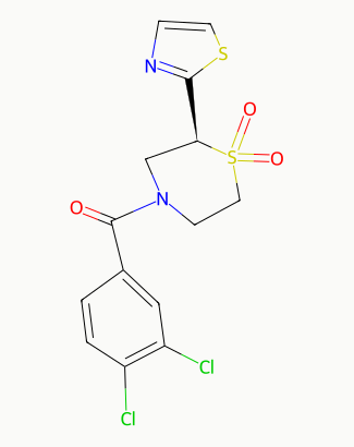 O=C(c1ccc(Cl)c(Cl)c1)N1CCS(=O)(=O)[C@H](c2nccs2)C1